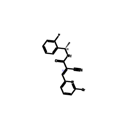 C[C@H](NC(=O)/C(C#N)=C/c1cccc(Br)n1)c1ccccc1F